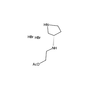 Br.Br.CC(=O)OCCN[C@H]1CCNC1